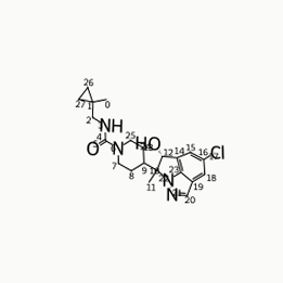 CC1(CNC(=O)N2CCC(C3(C)[C@H](O)c4cc(Cl)cc5cnn3c45)CC2)CC1